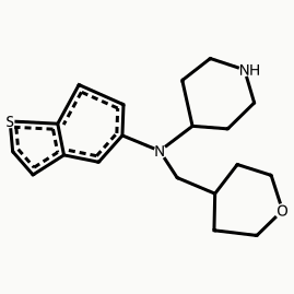 c1cc2cc(N(CC3CCOCC3)C3CCNCC3)ccc2s1